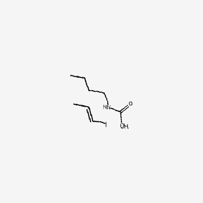 CC=CI.CCCCNC(=O)O